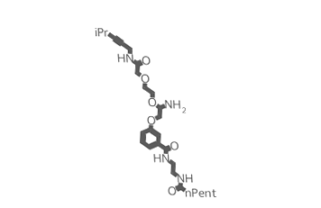 CCCCCC(=O)NCCNC(=O)c1cccc(OCC(N)OCCOCC(=O)NCC#CC(C)C)c1